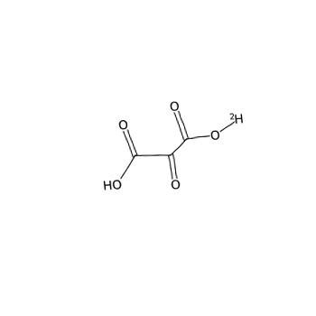 [2H]OC(=O)C(=O)C(=O)O